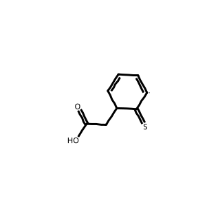 O=C(O)CC1C=CC=[C]C1=S